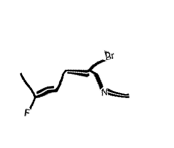 C=N/C(Br)=C\C=C(/C)F